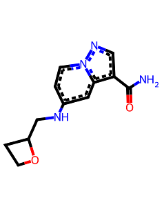 NC(=O)c1cnn2ccc(NCC3CCO3)cc12